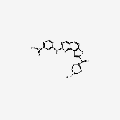 CN1CCN(C(=O)c2cc3c(ccc4cnc(Nc5cccc(S(=O)O)c5)nc43)s2)CC1